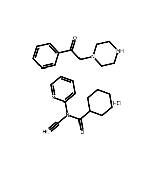 C#CN(C(=O)C1CCCCC1)c1ccccn1.Cl.O=C(CN1CCNCC1)c1ccccc1